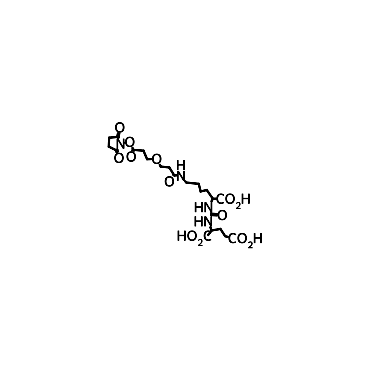 O=C(O)CCC(NC(=O)NC(CCCCNC(=O)CCOCCC(=O)ON1C(=O)CCC1=O)C(=O)O)C(=O)O